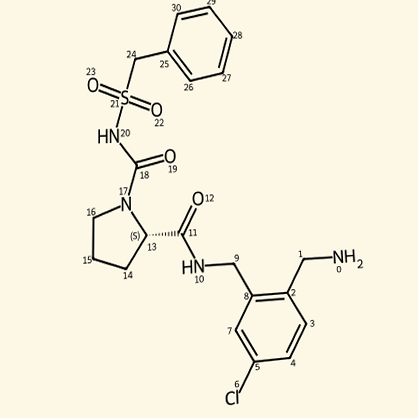 NCc1ccc(Cl)cc1CNC(=O)[C@@H]1CCCN1C(=O)NS(=O)(=O)Cc1ccccc1